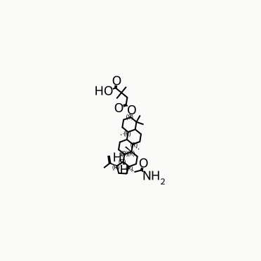 C=C(C)[C@@H]1CC[C@]2(CC(N)=O)CC[C@]3(C)[C@H](CCC4[C@@]5(C)CC[C@H](OC(=O)CC(C)(C)C(=O)O)C(C)(C)C5CC[C@]43C)[C@@H]12